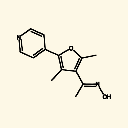 C/C(=N\O)c1c(C)oc(-c2ccncc2)c1C